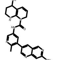 CNc1cc2ncc(-c3cc(NC(=O)N4CC=CC5=C4NCCC5O)cnc3C)cc2cn1